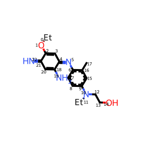 CCOC1=C/C(=N/c2ccc(N(CC)CCO)cc2C)C(N)=CC1=N